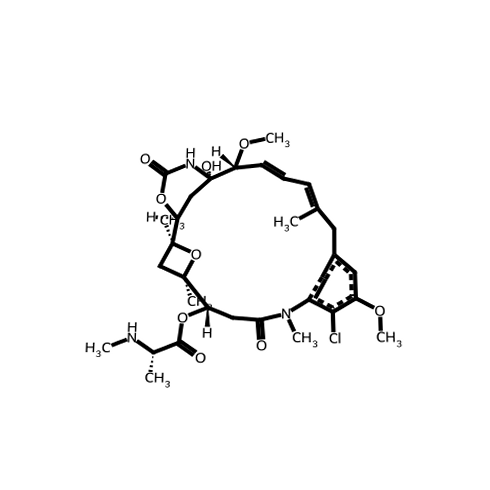 CN[C@@H](C)C(=O)O[C@H]1CC(=O)N(C)c2cc(cc(OC)c2Cl)C/C(C)=C/C=C/[C@@H](OC)[C@@]2(O)C[C@H](OC(=O)N2)[C@]2(C)C[C@@]1(C)O2